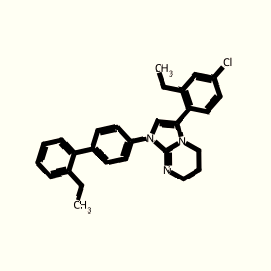 CCc1cc(Cl)ccc1C1=CN(c2ccc(-c3ccccc3CC)cc2)C2=NCCCN12